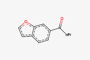 CCCC(=O)c1ccc2ccoc2c1